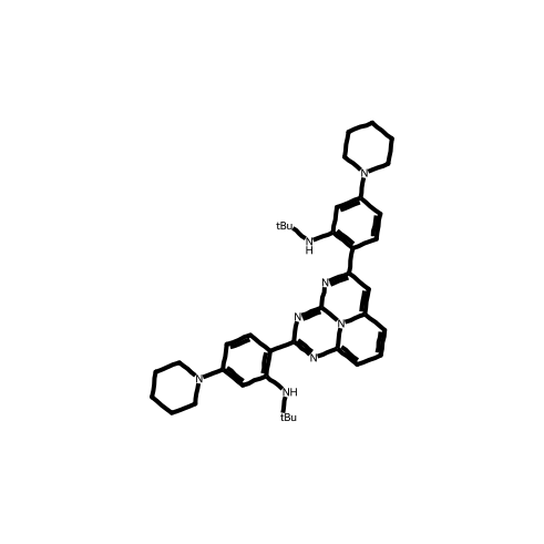 CC(C)(C)Nc1cc(N2CCCCC2)ccc1C1=NC2=NC(c3ccc(N4CCCCC4)cc3NC(C)(C)C)=NC3=CC=CC(=C1)N32